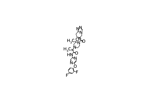 C[C@@H](C(=O)Nc1cnc(Oc2ccc(F)cc2F)cn1)N1CCN(C(=O)[C@@H]2CCc3nncn3C2)C(C)(C)C1